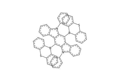 c1ccc(-n2c3ccccc3c3c(B4c5ccccc5Sc5ccccc54)c4c(c(B5c6ccccc6Sc6ccccc65)c32)c2ccccc2n4-c2ccccc2)cc1